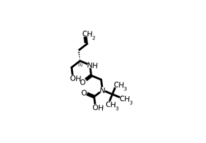 C=CC[C@@H](CO)NC(=O)CN(C(=O)O)C(C)(C)C